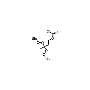 CC(C)(C)OOC(C)(CCOC(=O)Cl)OOC(C)(C)C